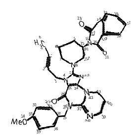 CC#CCn1c(N2CCC[C@@H](N3C(=O)c4ccccc4C3=O)C2)nc2c1C(=O)N(Cc1ccc(OC)cc1)C1=NCCCN12